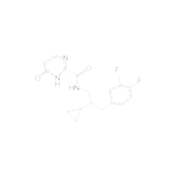 O=C(NCC(Cc1ccc(F)c(F)c1)C1CC1)c1nccc(=O)[nH]1